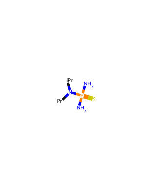 CC(C)N(C(C)C)P(N)(N)=S